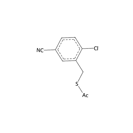 CC(=O)SCc1cc(C#N)ccc1Cl